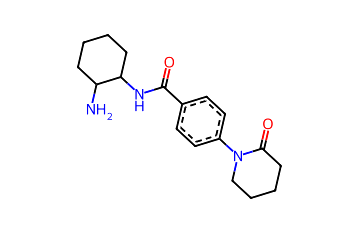 NC1CCCCC1NC(=O)c1ccc(N2CCCCC2=O)cc1